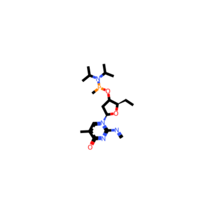 C=Nc1nc(=O)c(C)cn1[C@H]1CC(OP(C)N(C(C)C)C(C)C)[C@@H](CC)O1